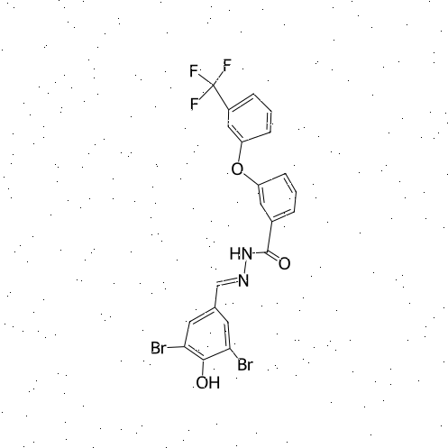 O=C(NN=Cc1cc(Br)c(O)c(Br)c1)c1cccc(Oc2cccc(C(F)(F)F)c2)c1